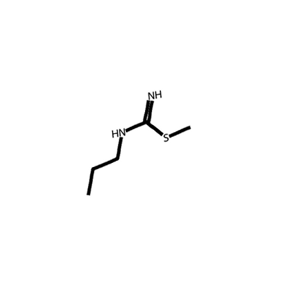 CCCNC(=N)SC